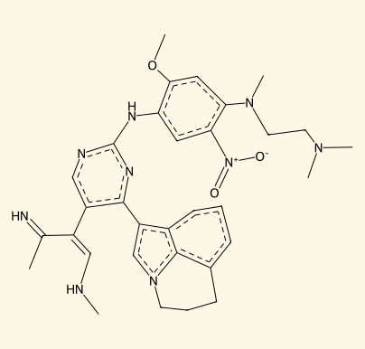 CN/C=C(\C(C)=N)c1cnc(Nc2cc([N+](=O)[O-])c(N(C)CCN(C)C)cc2OC)nc1-c1cn2c3c(cccc13)CCC2